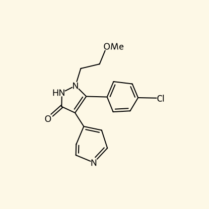 COCCn1[nH]c(=O)c(-c2ccncc2)c1-c1ccc(Cl)cc1